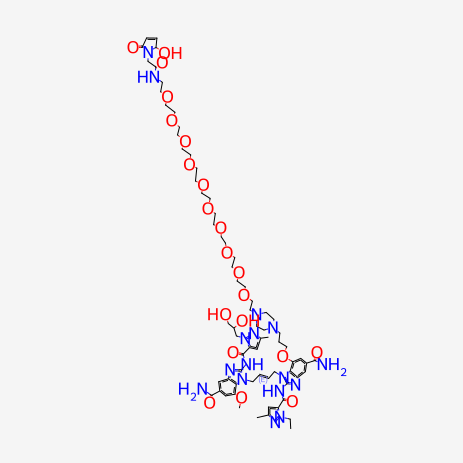 CCn1nc(C)cc1C(=O)Nc1nc2cc(C(N)=O)cc(OCCCN3CCN(CCOCCOCCOCCOCCOCCOCCOCCOCCOCCOCCNC(=O)CN4C(=O)C=CC4O)CC3)c2n1C/C=C/Cn1c(NC(=O)c2cc(C)nn2CC(O)CO)nc2cc(C(N)=O)cc(OC)c21